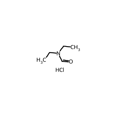 CCN(C=O)CC.Cl